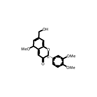 COc1ccc([C@H]2OC3=CC(CO)=CC(OC)C3=CC2=O)cc1OC